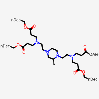 CCCCCCCCCCCOC(=O)CCN(CCC(=O)OCCCCCCCCCCC)CCN1CCN(CCN(CCC(=O)OC)CCC(=O)OCCCCCCCCCCC)[C@@H](C)C1